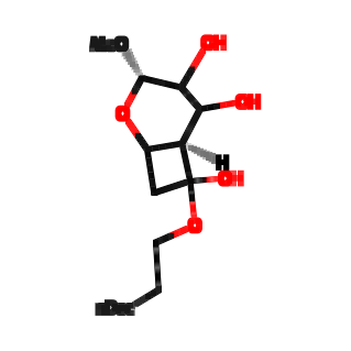 CCCCCCCCCCCCOC1(O)CC2O[C@H](OC)C(O)C(O)[C@H]21